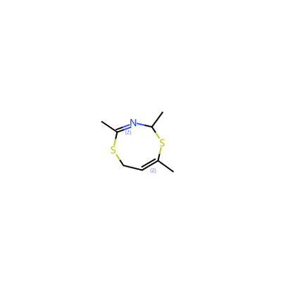 C/C1=C/CS/C(C)=N\C(C)S1